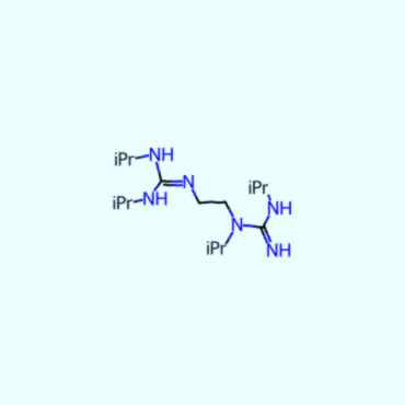 CC(C)NC(=N)N(CCN=C(NC(C)C)NC(C)C)C(C)C